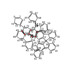 c1ccc(-c2ccc(N(c3ccc4c(c3)C(c3ccccc3)(c3ccccc3)c3ccccc3-4)c3cc(-c4ccccc4)ccc3-c3ccccc3-c3ccc4c5ccccc5n(-c5ccccc5)c4c3)cc2)cc1